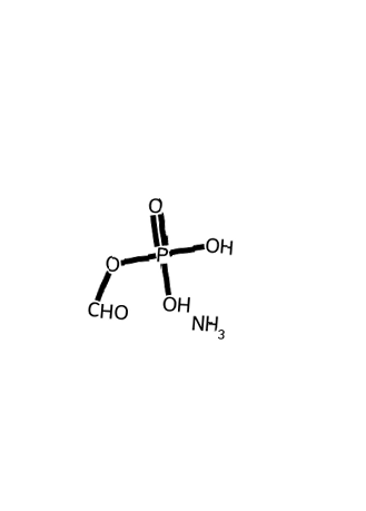 N.O=COP(=O)(O)O